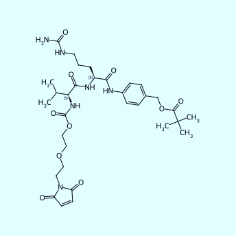 CC(C)[C@H](NC(=O)OCCOCCN1C(=O)C=CC1=O)C(=O)N[C@@H](CCCNC(N)=O)C(=O)Nc1ccc(COC(=O)C(C)(C)C)cc1